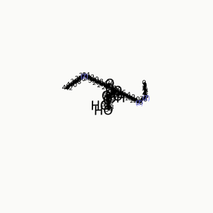 CCCCC/C=C\C/C=C\CCCCCCCC(=O)O[C@H](COC(=O)CCCCCCCCC/C=C\CCCCCCCC)COP(=O)(O)OC[C@@H](O)CO